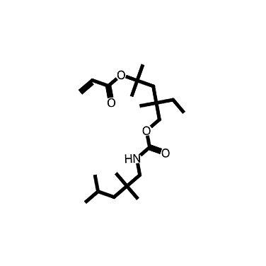 C=CC(=O)OC(C)(C)CC(C)(CC)COC(=O)NCC(C)(C)CC(C)C